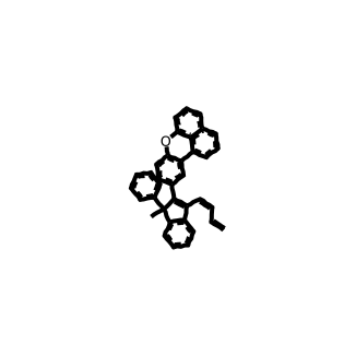 C=C/C=C\C1=C(c2ccc3c(c2)-c2cccc4cccc(c24)O3)C(C)(c2ccccc2)c2ccccc21